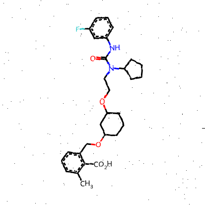 Cc1cccc(COC2CCCC(OCCN(C(=O)Nc3cccc(F)c3)C3CCCC3)C2)c1C(=O)O